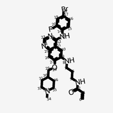 C=CC(=O)NCCCNc1cc2c(Nc3ccc(Br)cc3F)ncnc2cc1OCC1CCN(C)CC1